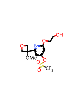 COC1(c2cc(OS(=O)(=O)C(F)(F)F)cc(OCCO)n2)COC1